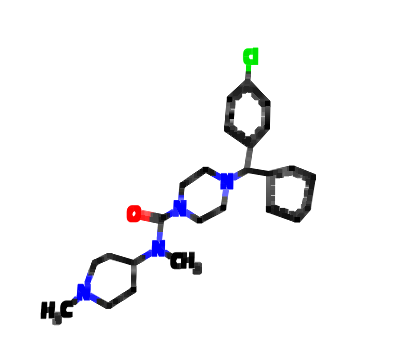 CN1CCC(N(C)C(=O)N2CCN(C(c3ccccc3)c3ccc(Cl)cc3)CC2)CC1